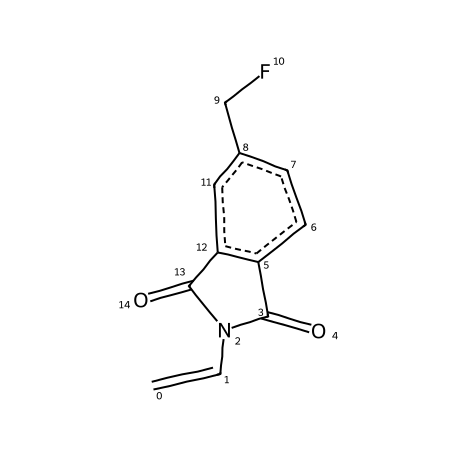 C=CN1C(=O)c2ccc(CF)cc2C1=O